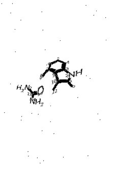 Cc1[nH]c2cccc(C)c2c1C.NC(N)=O